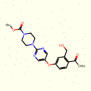 COC(=O)c1ccc(Oc2cnc(N3CCN(C(=O)OC(C)(C)C)CC3)nc2)cc1CO